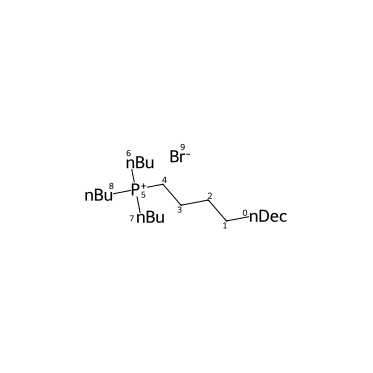 CCCCCCCCCCCCCC[P+](CCCC)(CCCC)CCCC.[Br-]